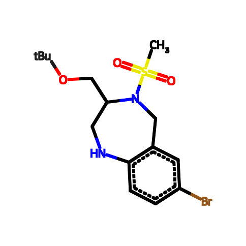 CC(C)(C)OCC1CNc2ccc(Br)cc2CN1S(C)(=O)=O